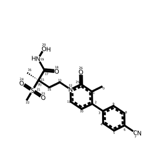 Cc1c(-c2ccc(C#N)cc2)ccn(CC[C@](C)(C(=O)NO)S(C)(=O)=O)c1=O